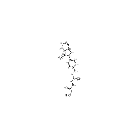 C=CC(=O)OCC(O)COc1ccc(C2Cc3ccccc3N2C)cc1